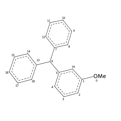 [CH2]Oc1cccc(C(c2ccccc2)c2ccccc2)c1